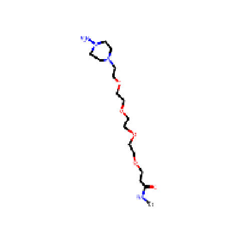 CCNC(=O)CCOCCOCCOCCOCCN1CCN(N)CC1